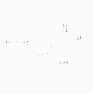 BNC1CN(CCC)CC1N